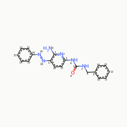 Nc1nc(NC(=O)NCc2ccccc2)ccc1N=Nc1ccccc1